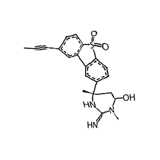 CC#Cc1ccc2c(c1)-c1cc([C@]3(C)CC(O)N(C)C(=N)N3)ccc1S2(=O)=O